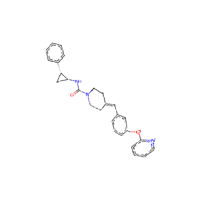 O=C(NC1C[C@@H]1c1ccccc1)N1CCC(=Cc2cccc(Oc3ccccn3)c2)CC1